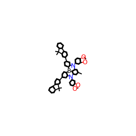 Cc1cc2c3c(c1)N(c1ccc4c(c1)OCO4)c1cc(-c4ccc5c(c4)C(C)(C)c4ccccc4-5)ccc1B3c1ccc(-c3ccc4c(c3)C(C)(C)c3ccccc3-4)cc1N2c1ccc2c(c1)OCO2